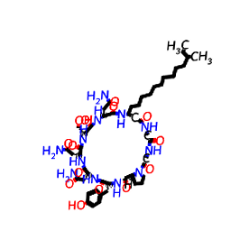 CCC(C)CCCCCCCCCCC1CC(=O)NCC(=O)NCC(=O)N2CCC[C@H]2C(=O)N[C@H](Cc2ccc(O)cc2)C(=O)N[C@H](CC(N)=O)C(=O)N[C@H](CC(N)=O)C(=O)N[C@H](CO)C(=O)N[C@@H](CC(N)=O)C(=O)N1